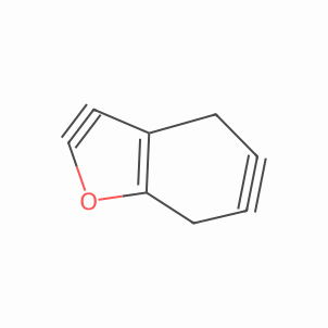 C1#CCc2oc#cc2C1